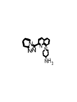 NC1CCN(c2cccc3ccc(-c4nnc5ccccn45)nc23)CC1